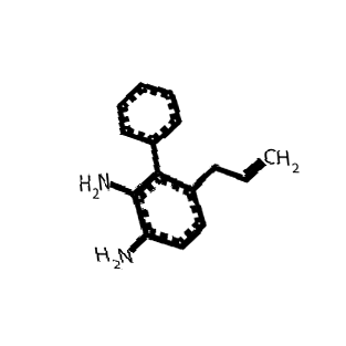 C=CCc1ccc(N)c(N)c1-c1ccccc1